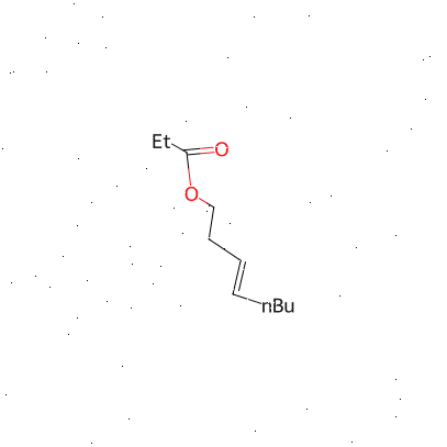 CCCC/C=C/CCOC(=O)CC